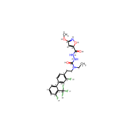 CCN(CCc1ccc(-c2cccc(F)c2C(F)(F)F)cc1F)C(=O)NNC(=O)c1cc(OC)no1